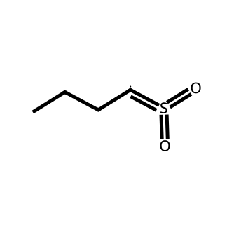 CCC[C]=S(=O)=O